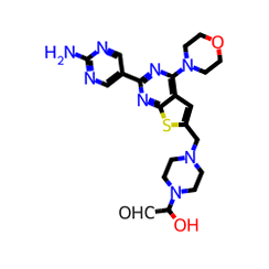 Nc1ncc(-c2nc(N3CCOCC3)c3cc(CN4CCN(C(O)C=O)CC4)sc3n2)cn1